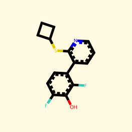 Oc1c(F)ccc(-c2cccnc2SC2CCC2)c1F